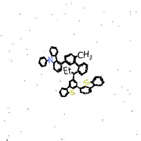 CCC(c1cc(-c2cccc3c2sc2ccccc23)c2sc3ccccc3c2c1)c1ccccc1-c1cc(-c2cccc3c2c2ccccc2n3-c2ccccc2)ccc1C